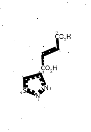 O=C(O)C=CC(=O)O.c1csnn1